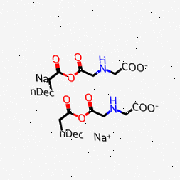 CCCCCCCCCCCC(=O)OC(=O)CNCC(=O)[O-].CCCCCCCCCCCC(=O)OC(=O)CNCC(=O)[O-].[Na+].[Na+]